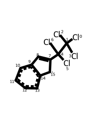 ClC(Cl)(Cl)C(Cl)(Cl)C1=Cc2ccccc2[CH]1